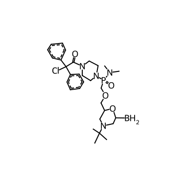 BC1CN(C(C)(C)C)CC(COCP(=O)(N(C)C)N2CCN(C(=O)C(Cl)(c3ccccc3)c3ccccc3)CC2)O1